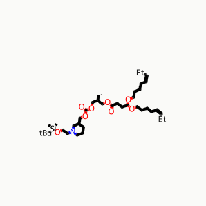 [CH2]C(COC(=O)CCC(OCCCC/C=C\CC)OCCCC/C=C\CC)COC(=O)OCC1CCCN(CCO[Si](C)(C)C(C)(C)C)C1